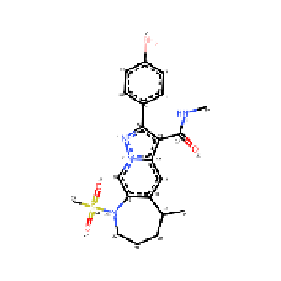 Bc1ccc(-c2nn3cc4c(cc3c2C(=O)NC)C(C)CCCN4S(C)(=O)=O)cc1